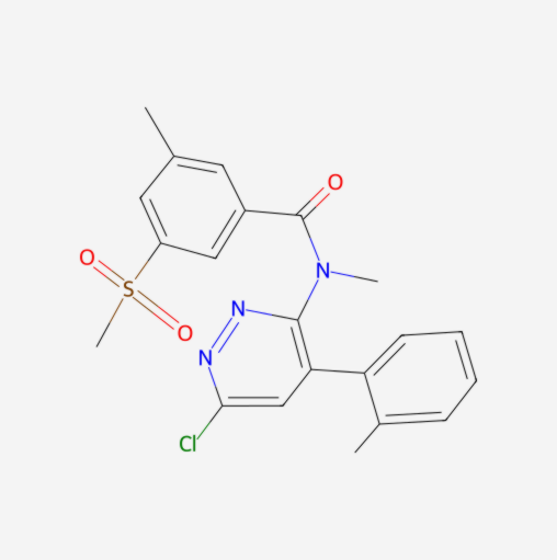 Cc1cc(C(=O)N(C)c2nnc(Cl)cc2-c2ccccc2C)cc(S(C)(=O)=O)c1